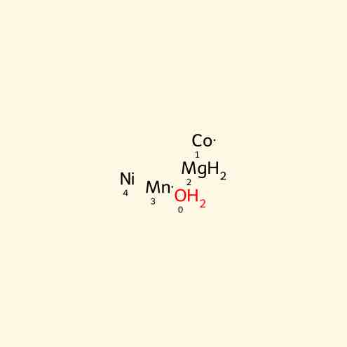 O.[Co].[MgH2].[Mn].[Ni]